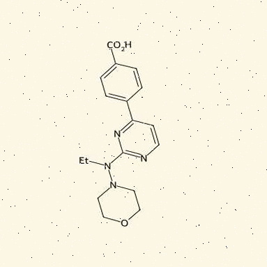 CCN(c1nccc(-c2ccc(C(=O)O)cc2)n1)N1CCOCC1